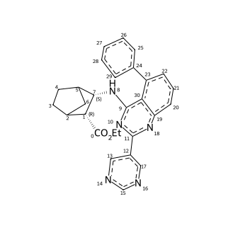 CCOC(=O)[C@@H]1C2CCC(C2)[C@@H]1Nc1nc(-c2cncnc2)nc2cccc(-c3ccccc3)c12